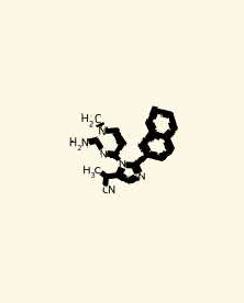 C=N/C=C\C(=N/CN)n1c(C(C)C#N)cnc1-c1ccc2ccccc2c1